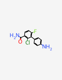 NC(=O)c1ccc(F)c(-c2ccc(N)cc2)c1Cl